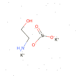 NCCO.O=[Si]([O-])[O-].[K+].[K+]